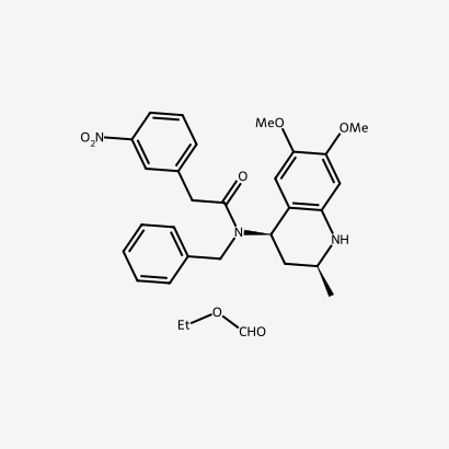 CCOC=O.COc1cc2c(cc1OC)[C@H](N(Cc1ccccc1)C(=O)Cc1cccc([N+](=O)[O-])c1)C[C@H](C)N2